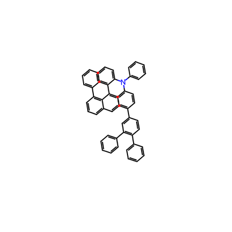 c1ccc(-c2ccc(-c3ccc(N(c4ccccc4)c4ccccc4-c4cccc5cccc(-c6ccccc6)c45)cc3)cc2-c2ccccc2)cc1